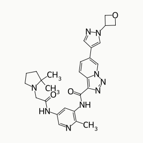 Cc1ncc(NC(=O)CN2CCCC2(C)C)cc1NC(=O)c1nnn2cc(-c3cnn(C4COC4)c3)ccc12